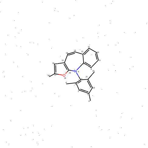 Cc1cc(C)c(N2c3ccccc3C=Cc3cc(C)oc32)c(C)c1